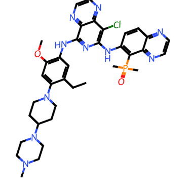 CCc1cc(Nc2nc(Nc3ccc4nccnc4c3P(C)(C)=O)c(Cl)c3nccnc23)c(OC)cc1N1CCC(N2CCN(C)CC2)CC1